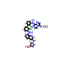 O=Cc1cnc2c(Nc3cccc(-c4cccc(Nc5nccc6cc(CN7CC[C@@H](O)C7)cnc56)c4Cl)c3Cl)nccn12